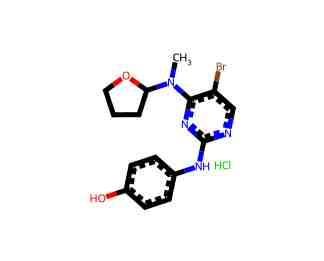 CN(c1nc(Nc2ccc(O)cc2)ncc1Br)C1CCCO1.Cl